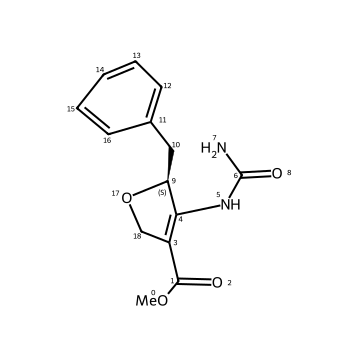 COC(=O)C1=C(NC(N)=O)[C@H](Cc2ccccc2)OC1